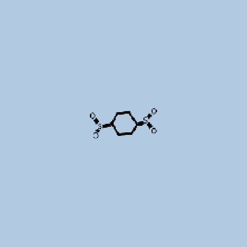 O=S(=O)=C1CCC(=S(=O)=O)CC1